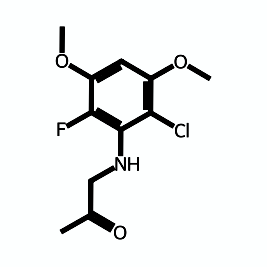 COc1cc(OC)c(Cl)c(NCC(C)=O)c1F